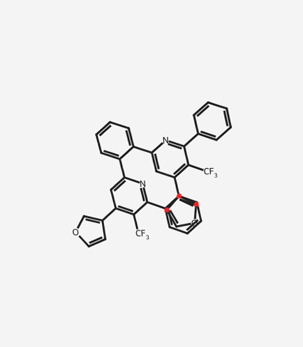 FC(F)(F)c1c(-c2ccoc2)cc(-c2ccccc2-c2cc(-c3ccoc3)c(C(F)(F)F)c(-c3ccccc3)n2)nc1-c1ccccc1